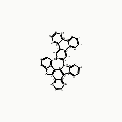 c1ccc2c(c1)sc1c3ncccc3c3c4ccccc4n(-c4cc5c6ccccc6c6ccccc6c5cn4)c3c21